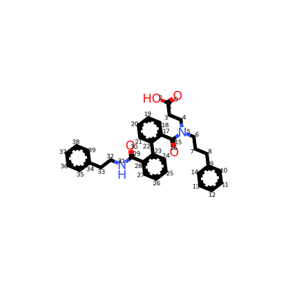 O=C(O)CCN(CCCc1ccccc1)C(=O)c1ccccc1-c1ccccc1C(=O)NCCc1ccccc1